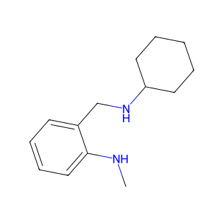 CNc1ccccc1CNC1CCCCC1